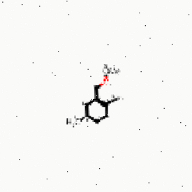 COOCC1=C(C(C)C)CC[C@@H](C)C1